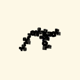 C=C(C)C(=O)OCCNC(=O)OCCN(C)c1ccc(/C=C(\C#N)C(=O)OCC(CC)(COC(=O)/C(C#N)=C/c2ccc(N(CC)CC)cc2)COC(=O)/C(C#N)=C/c2ccc(N(CC)CC)cc2)cc1